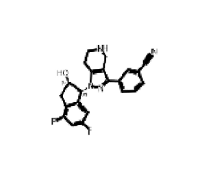 N#Cc1cccc(-c2nn([C@@H]3c4cc(F)cc(F)c4C[C@H]3O)c3c2CNCC3)c1